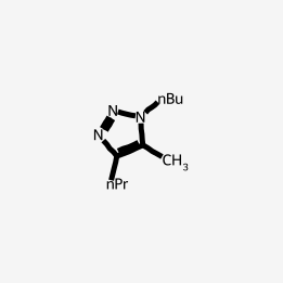 CCCCn1nnc(CCC)c1C